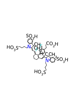 CC1(C)C(/C=C/C2=C(c3ccc(CCC(=O)O)c(F)c3F)C(=C/C=C3/N(CCCCS(=O)(=O)O)c4ccc(S(=O)(=O)O)cc4C3(C)C)/CCC2)=[N+](CCCCS(=O)(=O)O)c2ccc(S(=O)(=O)O)cc21